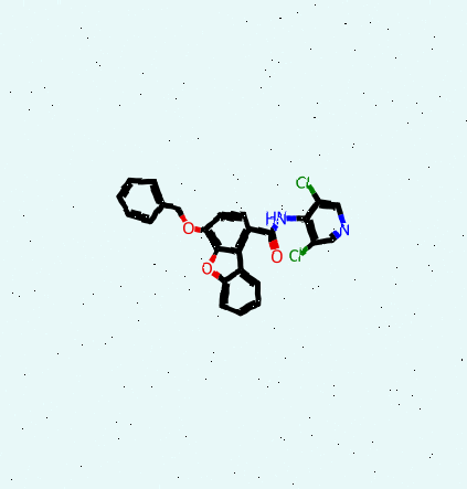 O=C(Nc1c(Cl)cncc1Cl)c1ccc(OCc2ccccc2)c2oc3ccccc3c12